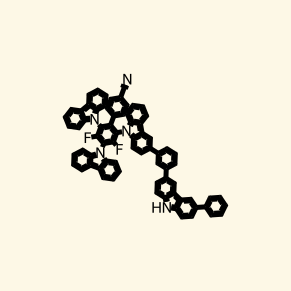 N#Cc1ccc(-c2c(-n3c4ccccc4c4ccccc43)c(F)c(-n3c4ccccc4c4ccccc43)c(F)c2-n2c3ccccc3c3cc(-c4cccc(-c5ccc6[nH]c7ccc(-c8ccccc8)cc7c6c5)c4)ccc32)cc1